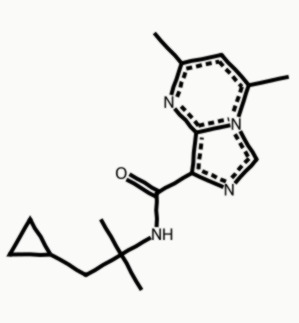 Cc1cc(C)n2cnc(C(=O)NC(C)(C)CC3CC3)c2n1